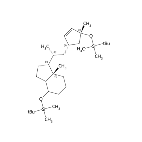 C[C@H](C[C@@H]1C=C[C@](C)(O[Si](C)(C)C(C)(C)C)C1)[C@H]1CCC2C(O[Si](C)(C)C(C)(C)C)CCC[C@]21C